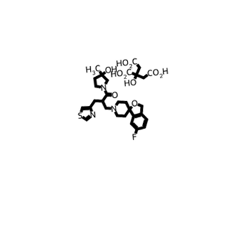 CC1(O)CCN(C(=O)C(Cc2cscn2)CN2CCC3(CC2)OCc2ccc(F)cc23)C1.O=C(O)CC(O)(CC(=O)O)C(=O)O